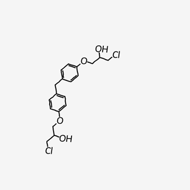 OC(CCl)COc1ccc(Cc2ccc(OCC(O)CCl)cc2)cc1